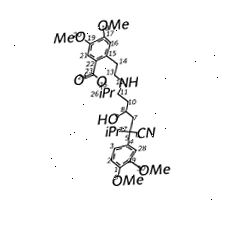 COc1ccc(C(C#N)(CC(O)CCNCCc2cc(OC)c(OC)cc2C(=O)OC(C)C)C(C)C)cc1OC